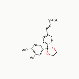 COc1ccc(C2(c3ccc(C=CC(=O)O)cc3)OCCO2)cc1C(C)(C)C